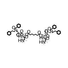 CN[C@@H](C)C(=O)N[C@@H](COC(=O)CCCCCC(=O)OC[C@H](NC(=O)[C@H](C)NC)C(=O)N1CCC[C@H]1CN(CCc1ccccc1)C(=O)c1ccccc1)C(=O)N1CCC[C@H]1CN(CCc1ccccc1)C(=O)c1ccccc1